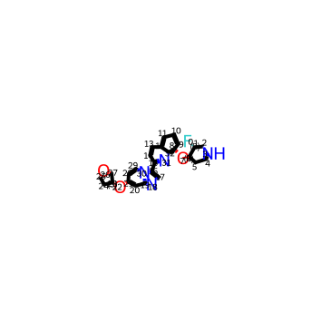 F[C@@H]1CNCC[C@H]1Oc1cccc2ccc(-c3cnc4cc(O[C@H]5CCOC5)ccn34)nc12